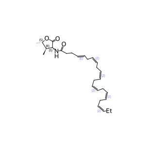 CC/C=C\C/C=C\C/C=C\C/C=C\C/C=C\C/C=C/CCC(=O)N[C@@H]1C(=O)O[C@@H](C)[C@@H]1C